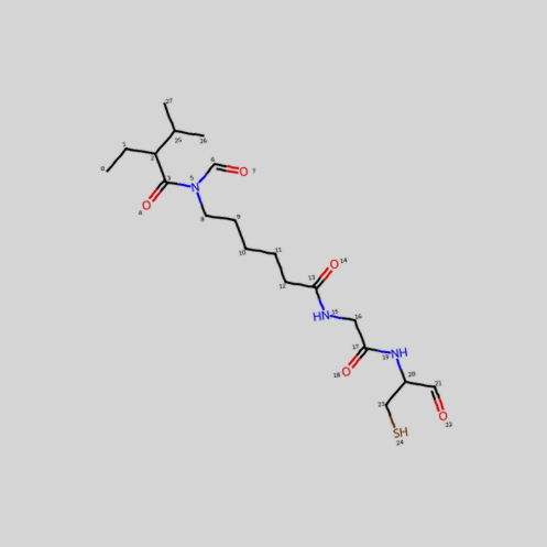 CCC(C(=O)N(C=O)CCCCCC(=O)NCC(=O)NC(C=O)CS)C(C)C